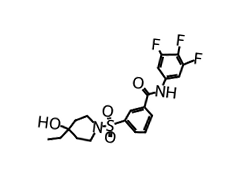 CCC1(O)CCN(S(=O)(=O)c2cccc(C(=O)Nc3cc(F)c(F)c(F)c3)c2)CC1